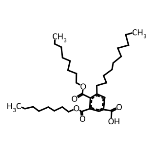 CCCCCCCCCCc1cc(C(=O)O)cc(C(=O)OCCCCCCCC)c1C(=O)OCCCCCCCC